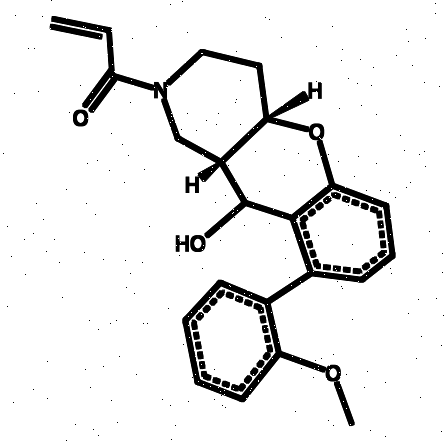 C=CC(=O)N1CC[C@@H]2Oc3cccc(-c4ccccc4OC)c3C(O)[C@@H]2C1